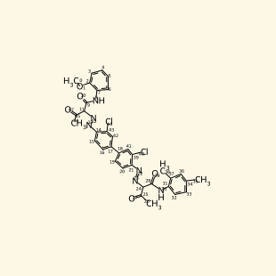 COc1ccccc1NC(=O)C(N=Nc1ccc(-c2ccc(N=NC(C(C)=O)C(=O)Nc3ccc(C)cc3C)c(Cl)c2)cc1Cl)C(C)=O